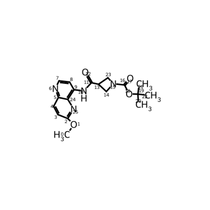 COc1ccc2nccc(NC(=O)C3CN(C(=O)OC(C)(C)C)C3)c2n1